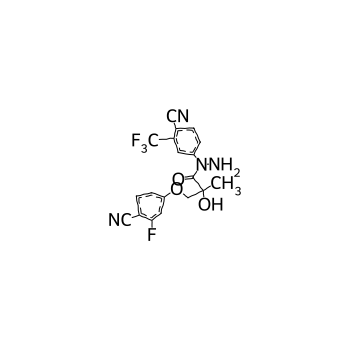 CC(O)(COc1ccc(C#N)c(F)c1)C(=O)N(N)c1ccc(C#N)c(C(F)(F)F)c1